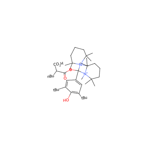 CCCCC(C(=O)O)C(=O)OC(c1cc(C(C)(C)C)c(O)c(C(C)(C)C)c1)([N+]1(C)C(C)(C)CCCC1(C)C)[N+]1(C)C(C)(C)CCCC1(C)C